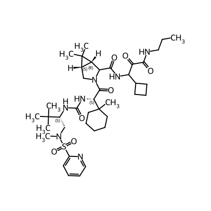 CCCNC(=O)C(=O)C(NC(=O)C1[C@@H]2[C@H](CN1C(=O)[C@@H](NC(=O)N[C@H](CN(C)S(=O)(=O)c1ccccn1)C(C)(C)C)C1(C)CCCCC1)C2(C)C)C1CCC1